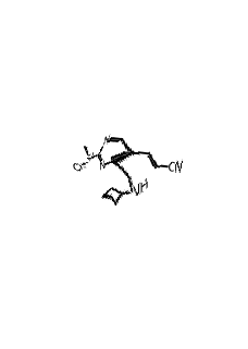 C[S+]([O-])c1ncc(C=CC#N)c(NC2CC2)n1